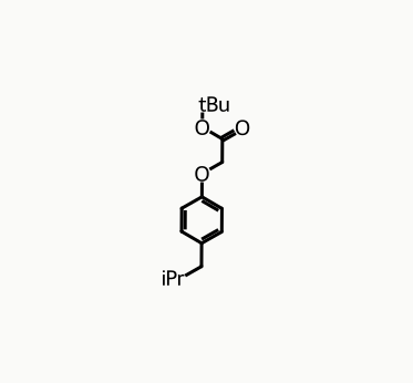 CC(C)Cc1ccc(OCC(=O)OC(C)(C)C)cc1